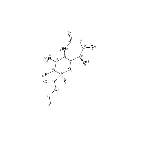 CCOC(=O)[C@]1(F)OC2C(NC(=O)C[C@@H](O)[C@H]2O)C(N)C1F